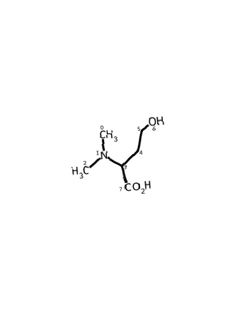 CN(C)C(CCO)C(=O)O